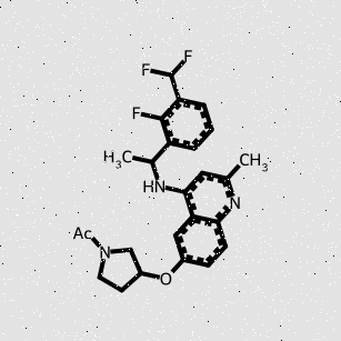 CC(=O)N1CCC(Oc2ccc3nc(C)cc(NC(C)c4cccc(C(F)F)c4F)c3c2)C1